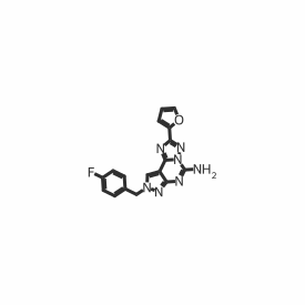 Nc1nc2nn(Cc3ccc(F)cc3)cc2c2nc(-c3ccco3)nn12